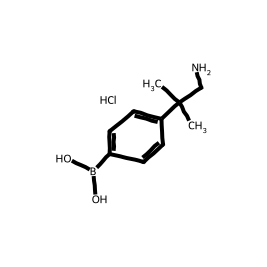 CC(C)(CN)c1ccc(B(O)O)cc1.Cl